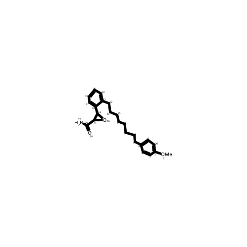 COc1ccc(CCCCCCCCc2ccccc2C2OC2C(N)=O)cc1